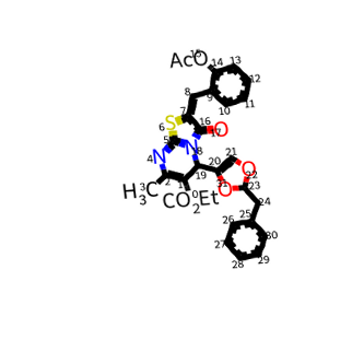 CCOC(=O)C1=C(C)N=c2sc(=Cc3ccccc3OC(C)=O)c(=O)n2C1C1=COC(Cc2ccccc2)O1